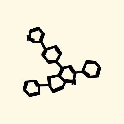 c1ccc(-c2ccc3nc(-c4ccccc4)cc(-c4ccc(-c5cccnc5)cc4)c3c2)cc1